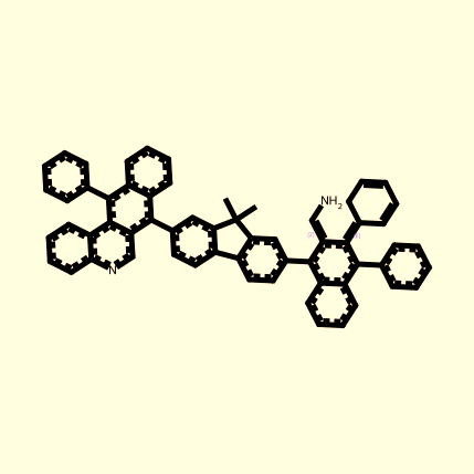 CC1(C)c2cc(-c3c(=C/N)/c(=C4/C=CC=CC4)c(-c4ccccc4)c4ccccc34)ccc2-c2ccc(-c3c4ccccc4c(-c4ccccc4)c4c3cnc3ccccc34)cc21